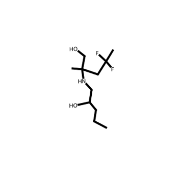 CCCC(O)CNC(C)(CO)CC(C)(F)F